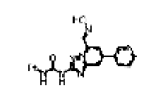 CCNC(=O)Nc1nc2cc(-c3cccnc3)cc(C=NO)n2n1